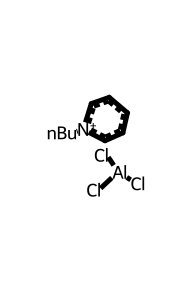 CCCC[n+]1ccccc1.[Cl][Al]([Cl])[Cl]